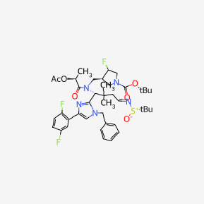 CC(=O)O[C@@H](C)C(=O)N(C[C@@H]1CN(C(=O)OC(C)(C)C)C[C@@H]1F)[C@@H](c1nc(-c2cc(F)ccc2F)cn1Cc1ccccc1)C(C)(C)CC=N[S+]([O-])C(C)(C)C